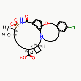 C[C@@H]1[C@@H](C)CCC[C@H](C(=O)O)[C@@H]2CC[C@H]2CN2CCCCc3cc(Cl)ccc3COc3ccc(cc32)C(=O)NS1(=O)=O